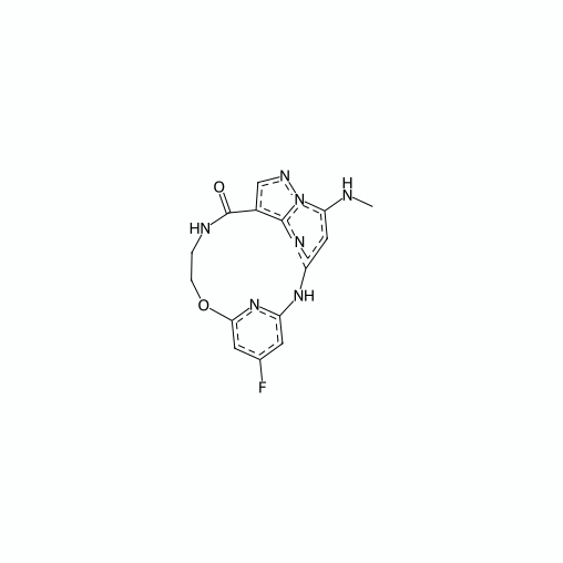 CNc1cc2nc3c(cnn13)C(=O)NCCOc1cc(F)cc(n1)N2